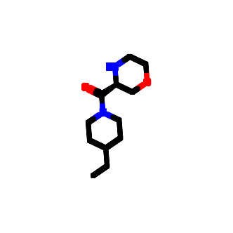 CCC1CCN(C(=O)[C@@H]2COCCN2)CC1